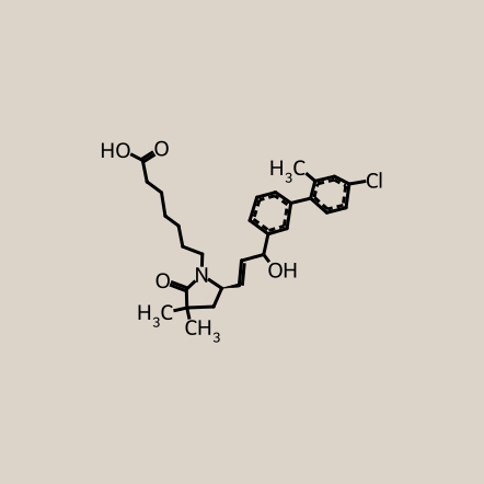 Cc1cc(Cl)ccc1-c1cccc(C(O)C=C[C@H]2CC(C)(C)C(=O)N2CCCCCCC(=O)O)c1